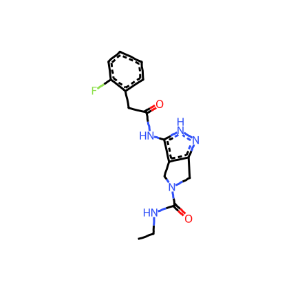 CCNC(=O)N1Cc2n[nH]c(NC(=O)Cc3ccccc3F)c2C1